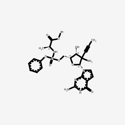 CC#CC1(N)[C@@H](O)[C@@H](COP(=O)(N[C@@H](C)C(=O)OC(C)C)Oc2ccccc2)O[C@H]1n1ccc2c(=O)[nH]c(N)nc21